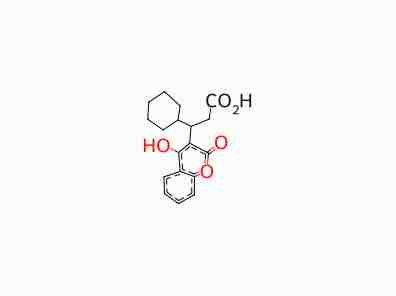 O=C(O)CC(c1c(O)c2ccccc2oc1=O)C1CCCCC1